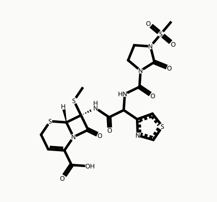 CS[C@@]1(NC(=O)C(NC(=O)N2CCN(S(C)(=O)=O)C2=O)c2cscn2)C(=O)N2C(C(=O)O)=CCS[C@@H]21